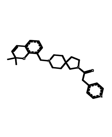 CC1(C)C=Cc2cccc(CN3CCC4(CC3)CCN(C(=O)Cc3ccncc3)C4)c2O1